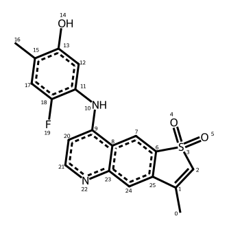 CC1=CS(=O)(=O)c2cc3c(Nc4cc(O)c(C)cc4F)ccnc3cc21